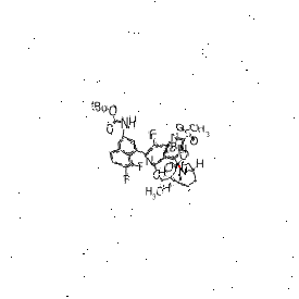 C[C@@H]1Oc2nc(-c3cc(NC(=O)OC(C)(C)C)cc4ccc(F)c(F)c34)c(F)c3nc(S(C)(=O)=O)nc(c23)N2C[C@H]3CC[C@@H]([C@@H]12)N3C(=O)OC(C)(C)C